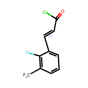 O=C(Cl)/C=C/c1cccc(C(F)(F)F)c1F